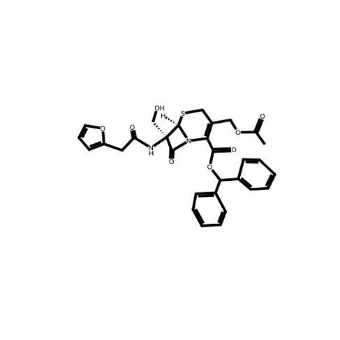 CC(=O)OCC1=C(C(=O)OC(c2ccccc2)c2ccccc2)N2C(=O)[C@@](CO)(NC(=O)Cc3ccco3)[C@H]2SC1